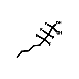 CCCCCC(F)(F)C(F)(F)C(O)(O)F